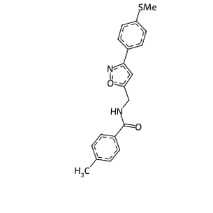 CSc1ccc(-c2cc(CNC(=O)c3ccc(C)cc3)on2)cc1